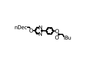 CCCCCCCCCCCOc1cnc(-c2ccc(OC(=O)CC(C)CC)cc2)nc1